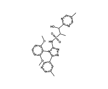 COc1cccc(OC)c1-n1c(NS(=O)(=O)C(C)C(O)c2ncc(C)cn2)nnc1-c1cncc(C)c1